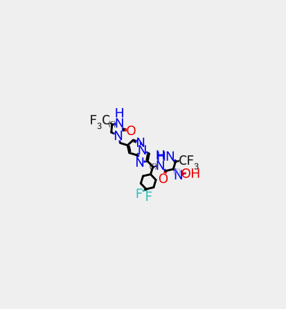 N=C(/C(=N\O)C(=O)N[C@H](c1cn2ncc(CN3C[C@@H](C(F)(F)F)NC3=O)cc2n1)C1CCC(F)(F)CC1)C(F)(F)F